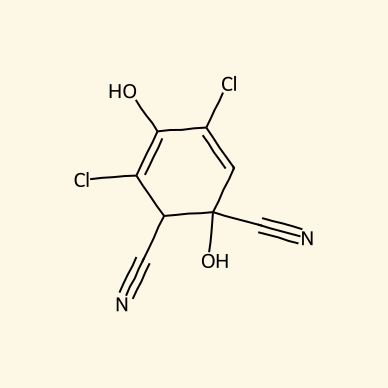 N#CC1C(Cl)=C(O)C(Cl)=CC1(O)C#N